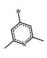 [CH2]c1cc(Br)cc(C)n1